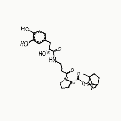 CC1(C)C2CCC1(C)C(OC(=O)[C@@H]1CCCN1C(=O)CCNC(=O)[C@H](O)Cc1ccc(O)c(O)c1)C2